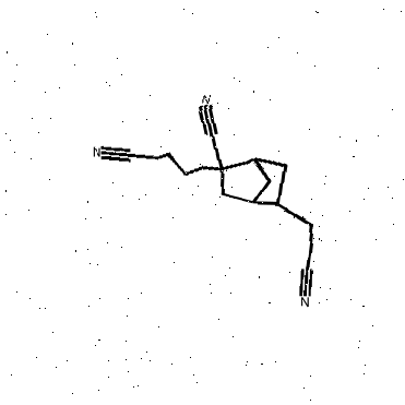 N#CCCC1(C#N)CC2CC1CC2CC#N